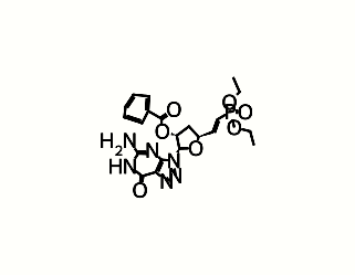 CCOP(=O)(/C=C/[C@@H]1C[C@@H](OC(=O)c2ccccc2)[C@H](n2nnc3c(=O)[nH]c(N)nc32)O1)OCC